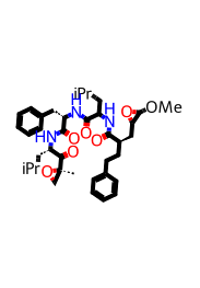 COC1OC1C[C@@H](CCc1ccccc1)C(=O)NC(CC(C)C)C(=O)N[C@@H](Cc1ccccc1)C(=O)N[C@@H](CC(C)C)C(=O)[C@@]1(C)CO1